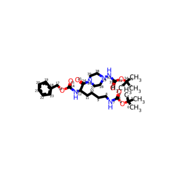 CC(C)(C)OC(=O)NCCCCC(NC(=O)OCc1ccccc1)C(=O)N1CCN(NC(=O)OC(C)(C)C)CC1